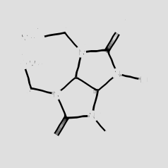 CCN1C(=O)N(COC)C2C1N(CC)C(=O)N2COC